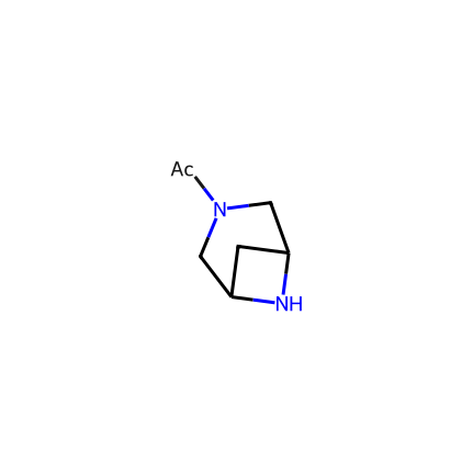 CC(=O)N1CC2CC(C1)N2